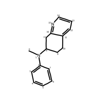 CN(c1ccccc1)C1CCc2cccnc2C1